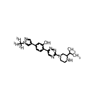 [2H]C([2H])([2H])n1cc(-c2ccc(-c3cnc(N4CCNC(C(C)C)C4)nn3)c(O)c2)cn1